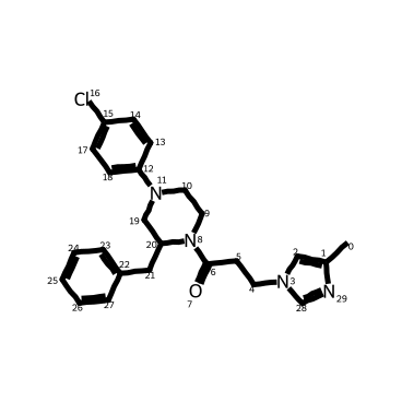 Cc1cn(CCC(=O)N2CCN(c3ccc(Cl)cc3)CC2Cc2ccccc2)cn1